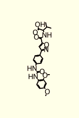 COc1ccc(NC(=O)Nc2ccc(-c3cc(C(=O)NC(C(=O)O)C(C)C)on3)cc2)c(OC)c1